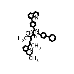 C=C(C)/C(=C\C=C(/C)c1cccc2c1N=CC(C)C2)c1nc(-c2ccc(C3=CCC=CC=C3)cc2)nc(-c2ccc(-c3cccc4cccnc34)cc2)n1